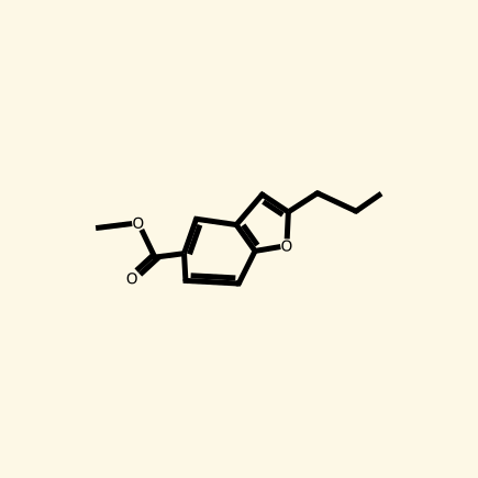 CCCc1cc2cc(C(=O)OC)ccc2o1